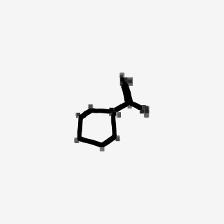 CCC(=N)N1CCCCC1